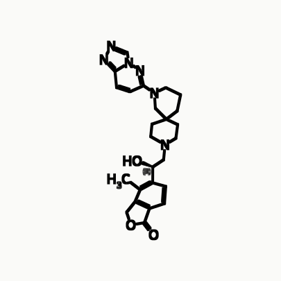 Cc1c([C@@H](O)CN2CCC3(CCCN(c4ccc5nncn5n4)C3)CC2)ccc2c1COC2=O